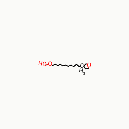 C1CCOC1.CCCCCCCCCCCCOCO